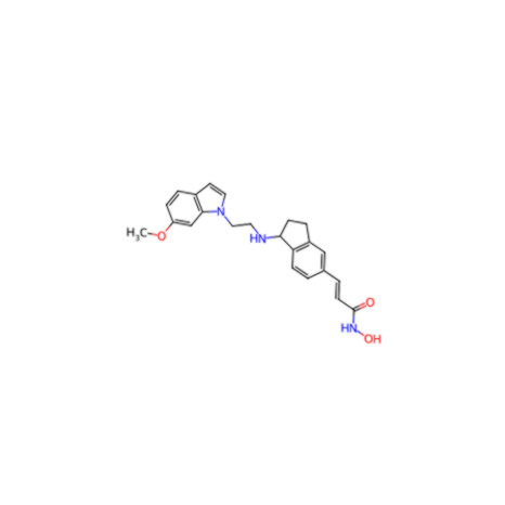 COc1ccc2ccn(CCNC3CCc4cc(/C=C/C(=O)NO)ccc43)c2c1